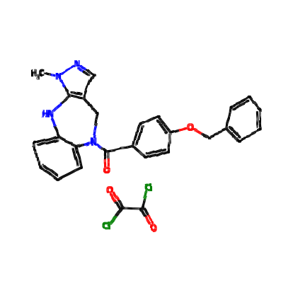 Cn1ncc2c1Nc1ccccc1N(C(=O)c1ccc(OCc3ccccc3)cc1)C2.O=C(Cl)C(=O)Cl